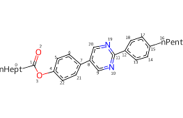 CCCCCCCC(=O)Oc1ccc(-c2cnc(-c3ccc(CCCCC)cc3)nc2)cc1